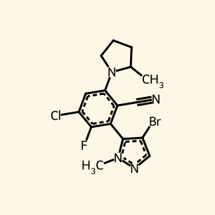 CC1CCCN1c1cc(Cl)c(F)c(-c2c(Br)cnn2C)c1C#N